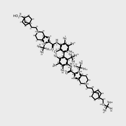 [2H]c1c([2H])c(NC(=O)c2nc3c(n2C([2H])([2H])[2H])CCN(CCC24CCC(C(=O)O)(CC2)C4)C3)c(Cl)c(-c2c([2H])c([2H])c([2H])c(NC(=O)c3nc4c(n3C([2H])([2H])[2H])CCN(CCC35CCC(COC([2H])([2H])[2H])(CC3)C5)C4)c2C([2H])([2H])[2H])c1[2H]